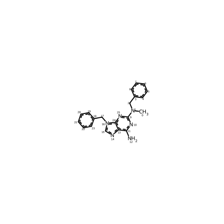 CN(Cc1ccccc1)c1nc(N)c2ncn(Cc3ccccc3)c2n1